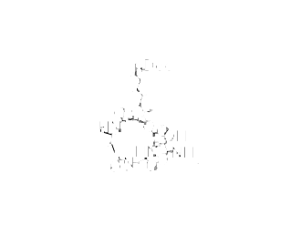 C=C1C=CC(=O)N(C)CC(=O)N[C@@H](C(O)C(N)=O)C(=O)O[C@@H](C(C)CCCCCCCCCCCCCCC)[C@H](C)C(=O)N1